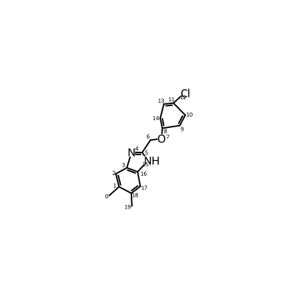 Cc1cc2nc(COc3ccc(Cl)cc3)[nH]c2cc1C